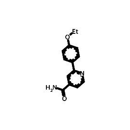 CCOc1ccc(-c2cc(C(N)=O)ccn2)cc1